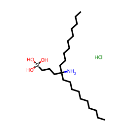 CCCCCCCCCCC(N)(CCCCCCCCCC)CCC[Si](O)(O)O.Cl